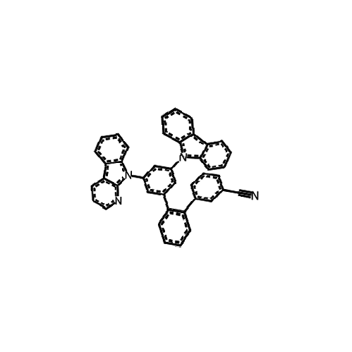 N#Cc1cccc(-c2ccccc2-c2cc(-n3c4ccccc4c4ccccc43)cc(-n3c4ccccc4c4cccnc43)c2)c1